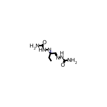 CC/C(C=NNC(N)=O)=N\NC(N)=O